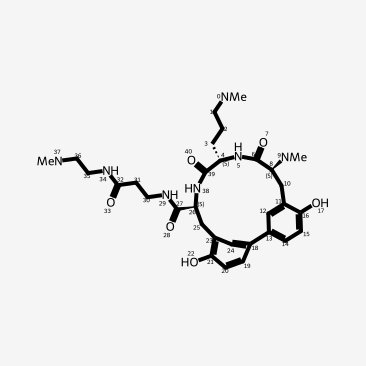 CNCCC[C@@H]1NC(=O)[C@@H](NC)Cc2cc(ccc2O)-c2ccc(O)c(c2)C[C@@H](C(=O)NCCC(=O)NCCNC)NC1=O